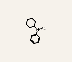 CC(=O)N(c1ccccc1)C1CCCCC1